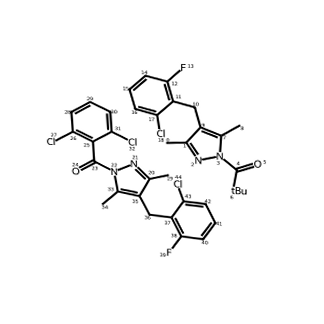 Cc1nn(C(=O)C(C)(C)C)c(C)c1Cc1c(F)cccc1Cl.Cc1nn(C(=O)c2c(Cl)cccc2Cl)c(C)c1Cc1c(F)cccc1Cl